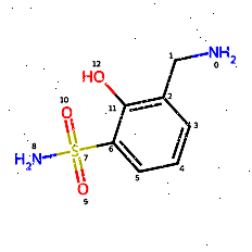 NCc1[c]ccc(S(N)(=O)=O)c1O